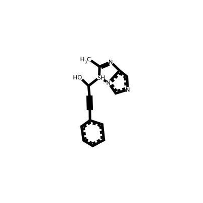 CC1=Nc2cncn2[SH]1C(O)C#Cc1ccccc1